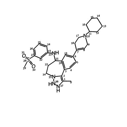 CC1=C2c3ccc(C4=CCN(C5CCCCC5)CC4)cc3C(Nc3cccc(S(C)(=O)=O)c3)CCN2NN1